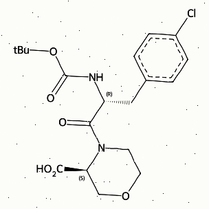 CC(C)(C)OC(=O)N[C@H](Cc1ccc(Cl)cc1)C(=O)N1CCOC[C@H]1C(=O)O